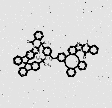 CC(C)(C)c1ccc2c(c1)C1(c3ccccc3-2)c2ccccc2-c2cc3c(cc21)nc1n3C(=O)c2ccccc2C1(C)c1ccc(Cc2ccc3c(c2)Cc2ccccc2-c2ccccc2Cc2c-3ccc3nc4[nH]c5ccccc5c(=O)n4c23)cc1